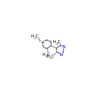 CSc1ccc(-c2c(C)ncnc2C)c(C)c1